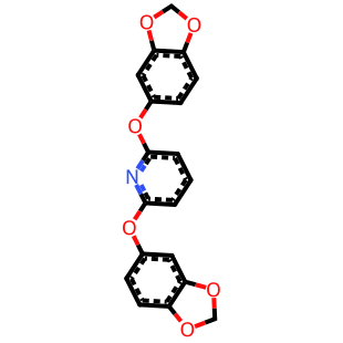 c1cc(Oc2ccc3c(c2)OCO3)nc(Oc2ccc3c(c2)OCO3)c1